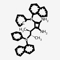 C[C@@H](C1=C(N)C(N)=C1N(c1ccccc1)c1cccc2ccccc12)[C@H](C)N(c1ccccc1)c1cccc2ccccc12